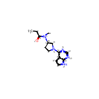 CN(C(=O)CC(F)(F)F)[C@@H]1CCN(c2ncnc3[nH]ccc23)C1